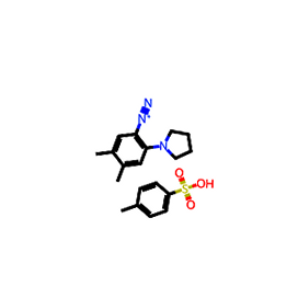 Cc1cc([N+]#N)c(N2CCCC2)cc1C.Cc1ccc(S(=O)(=O)O)cc1